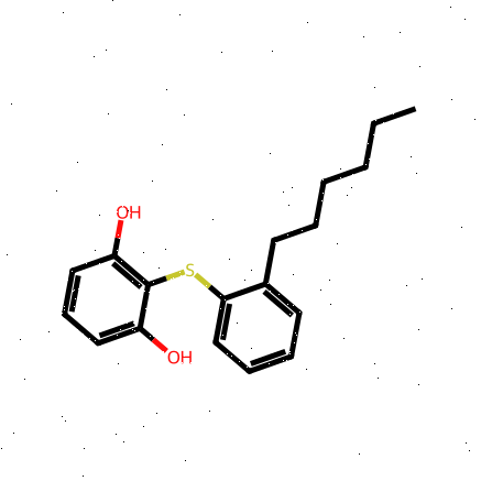 CCCCCCc1ccccc1Sc1c(O)cccc1O